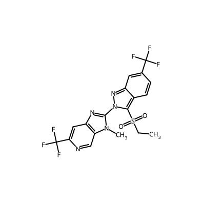 CCS(=O)(=O)c1c2ccc(C(F)(F)F)cc2nn1-c1nc2cc(C(F)(F)F)ncc2n1C